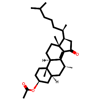 CC(=O)O[C@H]1CC[C@@]2(C)[C@H](C1)C[C@@H](C)C1=C3C(=O)C[C@H]([C@H](C)CCCC(C)C)[C@@]3(C)CC[C@@H]12